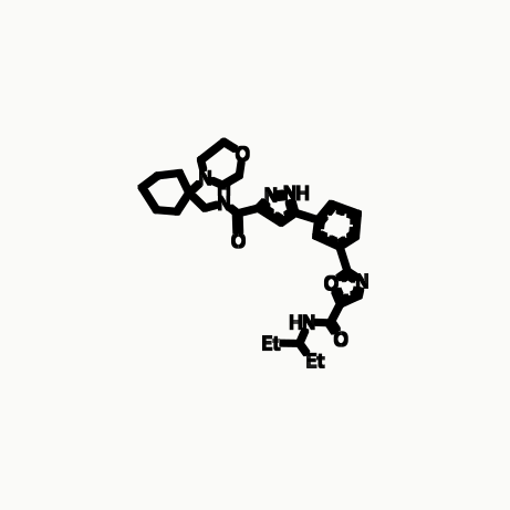 CCC(CC)NC(=O)c1cnc(-c2cccc(-c3cc(C(=O)NCC4(N5CCOCC5)CCCCC4)n[nH]3)c2)o1